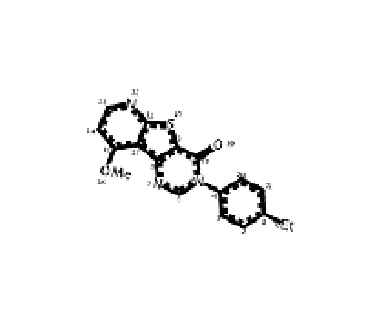 CCc1ccc(-n2cnc3c(sc4nccc(OC)c43)c2=O)cc1